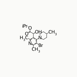 Cc1nc(C)c([C@H](O)C(=O)OC(C)C)c(N2CCC(C)CC2)c1Br